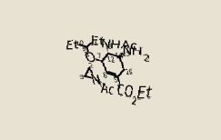 CC(=O)N1CC1.CCOC(=O)C1=C[C@@H](OC(CC)CC)[C@H](NC(C)=O)[C@@H](N)C1